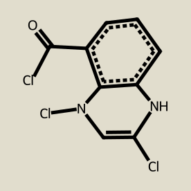 O=C(Cl)c1cccc2c1N(Cl)C=C(Cl)N2